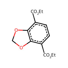 CCOC(=O)c1ccc(C(=O)OCC)c2c1OCO2